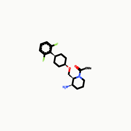 COC(=O)N1CCC[C@H](N)[C@@H]1CO[C@H]1CC[C@@H](c2c(F)cccc2F)CC1